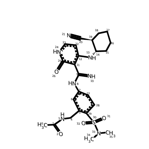 CC(=O)NCc1cc(NC(=N)c2c(N[C@H]3CCCC[C@@H]3C#N)cc[nH]c2=O)ccc1S(=O)(=O)N(C)C